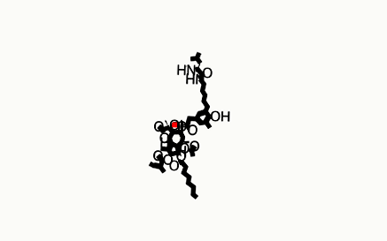 C/C=C(/C)C(=O)O[C@H]1C(C)=C2[C@@H]3OC(=O)[C@@](C)(O)[C@@]3(O)[C@@H](OC(=O)Cc3cc(C)c(O)c(CCCCCNC(=O)[C@@H](CC(C)C)NC)c3)C[C@](C)(OC(C)=O)[C@@H]2[C@@H]1OC(=O)CCCCCCC